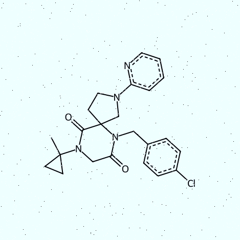 CC1(N2CC(=O)N(Cc3ccc(Cl)cc3)C3(CCN(c4ccccn4)C3)C2=O)CC1